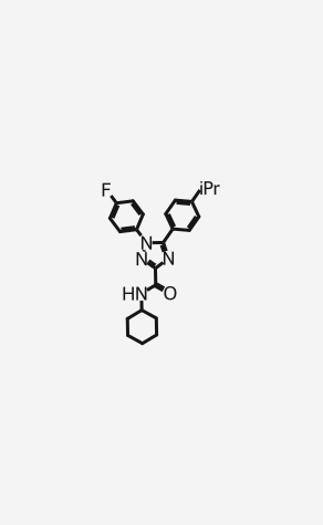 CC(C)c1ccc(-c2nc(C(=O)NC3CCCCC3)nn2-c2ccc(F)cc2)cc1